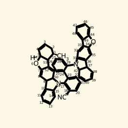 C[C@@H]1CC=C[C@@H]2OC3=CC4c5ccccc5N(c5c(C#N)cccc5-c5ccccc5N5c6cc7c(cc6C6C=CC=CC65)oc5ccccc57)C4C=C3C12